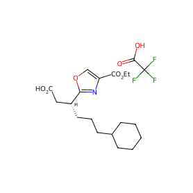 CCOC(=O)c1coc([C@H](CCCC2CCCCC2)CC(=O)O)n1.O=C(O)C(F)(F)F